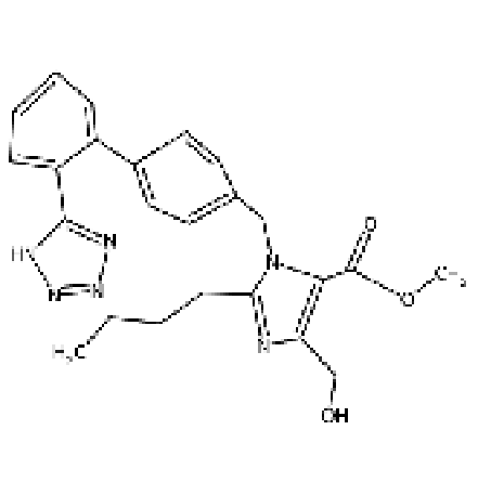 CCCCc1nc(CO)c(C(=O)OC)n1Cc1ccc(-c2ccccc2-c2nnn[nH]2)cc1